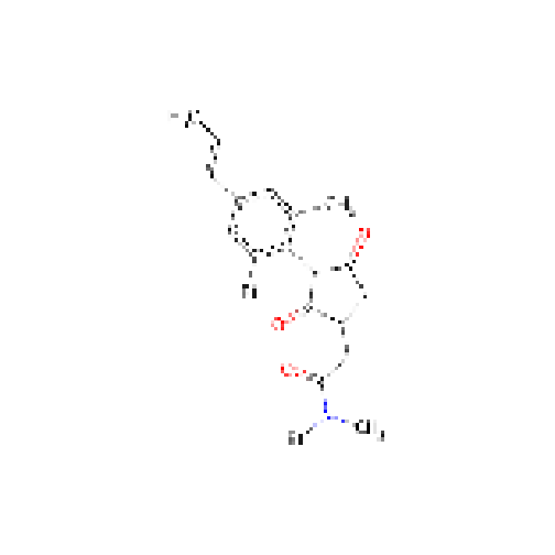 C/C=C/c1cc(C)c(C2C(=O)CC(CC(=O)N(C)CC)C2=O)c(CC)c1